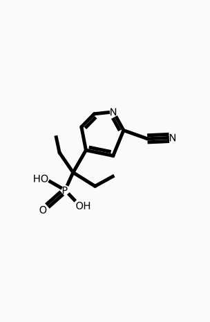 CCC(CC)(c1ccnc(C#N)c1)P(=O)(O)O